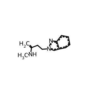 C=C(CCn1cc2ccccc2n1)NC